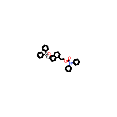 CC(C)(C)[Si](Oc1cccc2c1CCC=C2CCOC(=O)N(c1ccccc1)c1ccccc1)(c1ccccc1)c1ccccc1